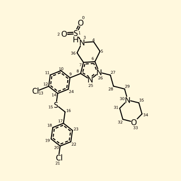 O=[SH](=O)N1CCc2c(c(-c3ccc(Cl)c(SCc4ccc(Cl)cc4)c3)nn2CCCN2CCOCC2)C1